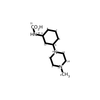 CN1CCN(C2CCCC(NC(=O)O)C2)CC1